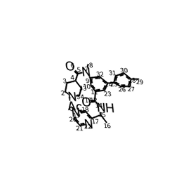 CC(=O)N1CCC(C(=O)N(C)c2cc(C(=O)NC(C)c3cnccn3)cc(-c3ccc(C)cc3)c2)CC1